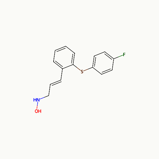 ONCC=Cc1ccccc1Sc1ccc(F)cc1